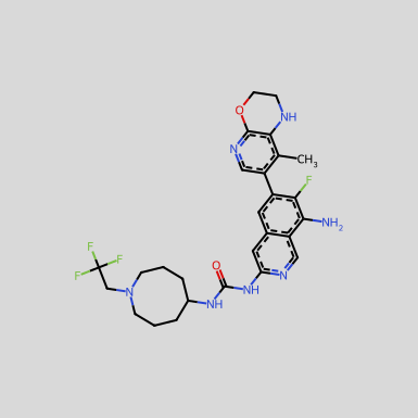 Cc1c(-c2cc3cc(NC(=O)NC4CCCN(CC(F)(F)F)CCC4)ncc3c(N)c2F)cnc2c1NCCO2